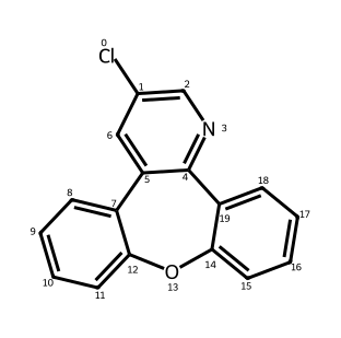 Clc1cnc2c(c1)-c1ccccc1Oc1ccccc1-2